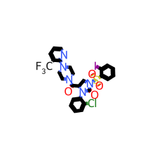 O=C(C1CN(S(=O)(=O)c2ccccc2I)C(=O)N1c1ccccc1Cl)N1CCN(c2ncccc2C(F)(F)F)CC1